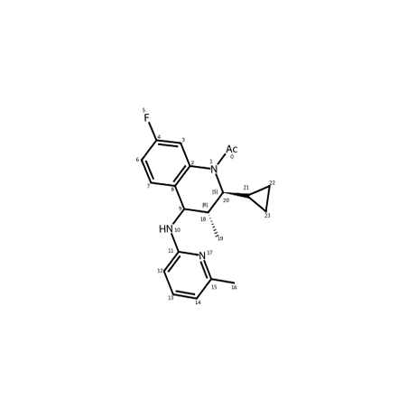 CC(=O)N1c2cc(F)ccc2C(Nc2cccc(C)n2)[C@@H](C)[C@@H]1C1CC1